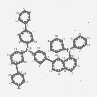 c1ccc(-c2ccc(N(c3ccc(-c4ccc5cccc(N(c6ccccc6)c6ccccc6)c5c4)cc3)c3cccc(-c4ccccc4)c3)cc2)cc1